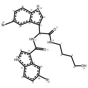 O=C(NC(C(=O)NCCCCO)c1c[nH]c2ccc(Br)cc12)c1c[nH]c2ccc(Br)cc12